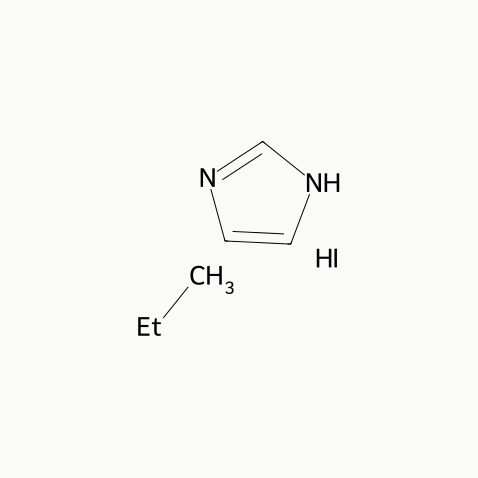 CCC.I.c1c[nH]cn1